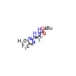 Cc1nc(N[C@H]2CC[C@@H]2NC(=O)OC(C)(C)C)ncc1C(F)(F)F